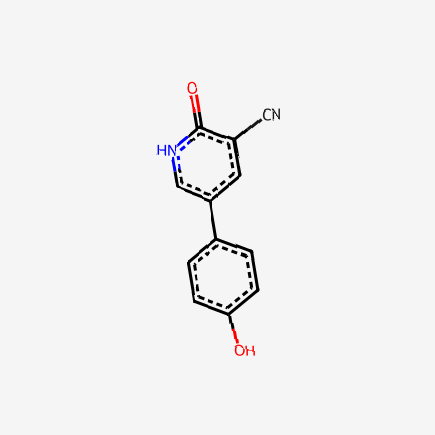 N#Cc1cc(-c2ccc(O)cc2)c[nH]c1=O